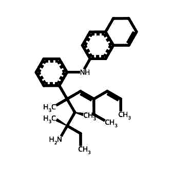 C/C=C\C(=C\C(C)(c1ccccc1Nc1ccc2c(c1)C=CCC2)[C@@H](C)[C@@](C)(N)CC)CC